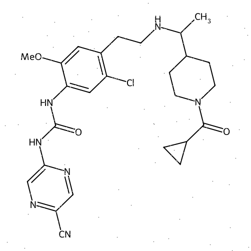 COc1cc(CCNC(C)C2CCN(C(=O)C3CC3)CC2)c(Cl)cc1NC(=O)Nc1cnc(C#N)cn1